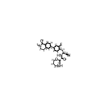 CN1CCc2cc(-c3ccc(C[C@@H](C#N)NC(=O)[C@@H]4CNCCCO4)c(F)c3)ccc2C1=O